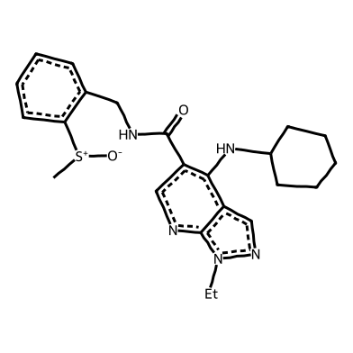 CCn1ncc2c(NC3CCCCC3)c(C(=O)NCc3ccccc3[S+](C)[O-])cnc21